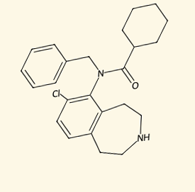 O=C(C1CCCCC1)N(Cc1ccccc1)c1c(Cl)ccc2c1CCNCC2